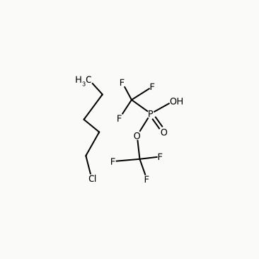 CCCCCCl.O=P(O)(OC(F)(F)F)C(F)(F)F